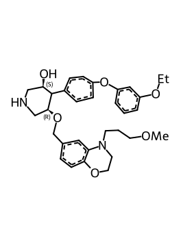 CCOc1cccc(Oc2ccc(C3[C@H](O)CNC[C@@H]3OCc3ccc4c(c3)N(CCCOC)CCO4)cc2)c1